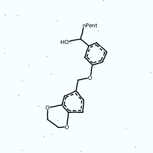 CCCCCC(O)c1cccc(OCc2ccc3c(c2)OCCO3)c1